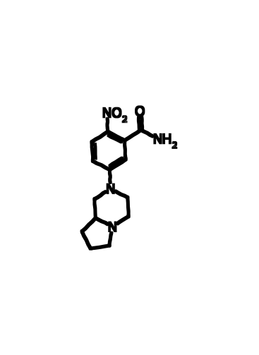 NC(=O)c1cc(N2CCN3CCCC3C2)ccc1[N+](=O)[O-]